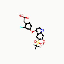 COc1cc2nccc(Oc3ccc(CC(=O)O)c(F)c3)c2cc1S(=O)(=O)C(C)(C)C